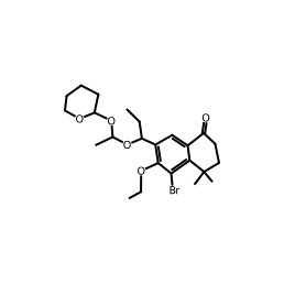 CCOc1c(C(CC)OC(C)OC2CCCCO2)cc2c(c1Br)C(C)(C)CCC2=O